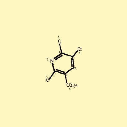 CCc1cc(C(=O)O)c(Cl)nc1Cl